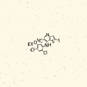 CCOc1cc(Nc2c(C#N)cnc3cc(I)sc23)c(Cl)cc1Cl